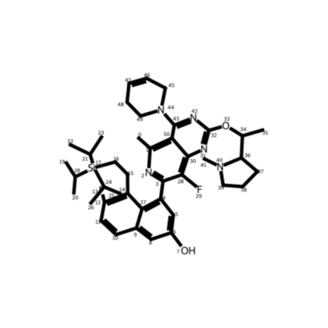 Cc1nc(-c2cc(O)cc3ccc(F)c(CC[Si](C(C)C)(C(C)C)C(C)C)c23)c(F)c2nc(OC(C)C3CCCN3C)nc(N3CC=CCC3)c12